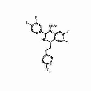 CNC(=O)C(NC(CCc1ccc(C(F)(F)F)nc1)c1ccc(F)c(C)c1)c1ccc(F)c(F)c1